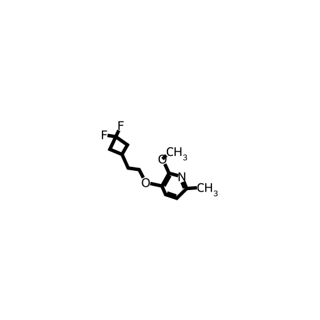 COc1nc(C)ccc1OCCC1CC(F)(F)C1